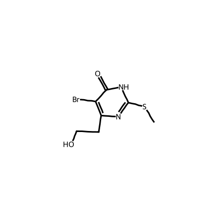 CSc1nc(CCO)c(Br)c(=O)[nH]1